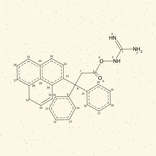 N=C(N)NOC(=O)CC(c1ccccc1)(c1ccccc1)c1ccc2cccc3c2c1C=CC3